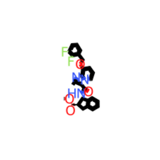 COC(=O)[C@@H]1Cc2ccccc2[C@H]1NC(=O)c1c(C)nc2c(OCc3cccc(F)c3F)cccn12